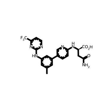 Cc1cc(Nc2nccc(C(F)(F)F)n2)cc(-c2ccc(N[C@H](CC(N)=O)C(=O)O)nc2)c1